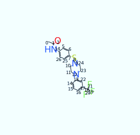 CC(=O)Nc1ccc(SN2CCN(c3cccc(C(F)(F)F)c3)CC2)cc1